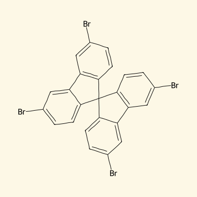 Brc1ccc2c(c1)-c1cc(Br)ccc1C21c2ccc(Br)cc2-c2cc(Br)ccc21